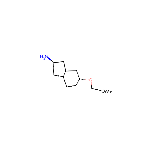 COCO[C@@H]1CCC2C[C@@H](N)CC2C1